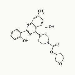 Cc1ccc2c(N3CCN(C(=O)OC4CCOC4)CC3CO)nc(-c3ccccc3O)nc2c1